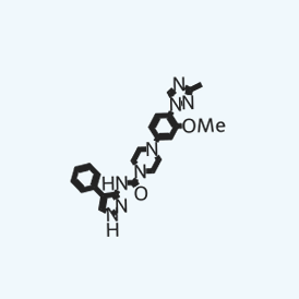 COc1cc(N2CCN(C(=O)Nc3n[nH]cc3-c3ccccc3)CC2)ccc1-n1cnc(C)n1